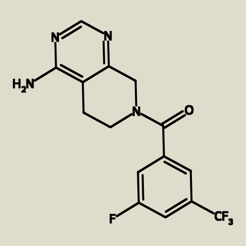 Nc1ncnc2c1CCN(C(=O)c1cc(F)cc(C(F)(F)F)c1)C2